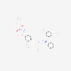 C[C@H]1OCN(C(=O)c2cc(C3CC3)c(OCC3(C)CN([C@H](c4ccccc4)c4cc(Cl)cc(Cl)c4)C3)cc2F)[C@H]1C(=O)O